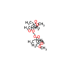 CCC(C)(CC(C)(C)C(=O)OCCOC(=O)C(C)(CC)CC(C)(C)C(=O)OC)C(=O)OC